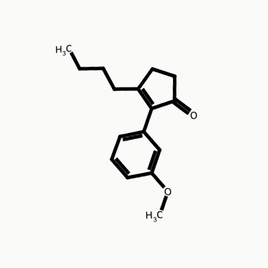 CCCCC1=C(c2cccc(OC)c2)C(=O)CC1